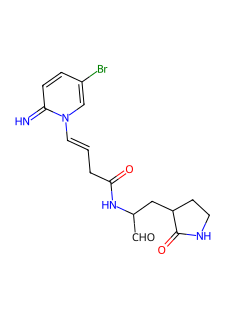 N=c1ccc(Br)cn1/C=C/CC(=O)NC(C=O)CC1CCNC1=O